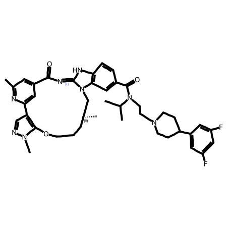 Cc1cc2cc(n1)-c1cnn(C)c1OCCC[C@@H](C)CN1/C(=N/C2=O)Nc2ccc(C(=O)N(CCN3CCC(c4cc(F)cc(F)c4)CC3)C(C)C)cc21